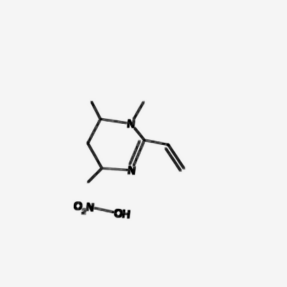 C=CC1=NC(C)CC(C)N1C.O=[N+]([O-])O